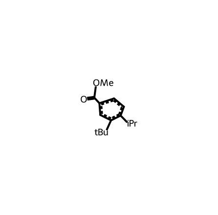 COC(=O)c1ccc(C(C)C)c(C(C)(C)C)c1